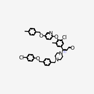 Cc1ccc(COc2ccc(Oc3c(C)cc(/C(=C\C=O)N4CCN(Cc5ccc(COc6ccc(Cl)cc6)cc5)CC4)cc3Cl)nc2)cc1